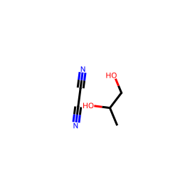 CC(O)CO.N#CC#N